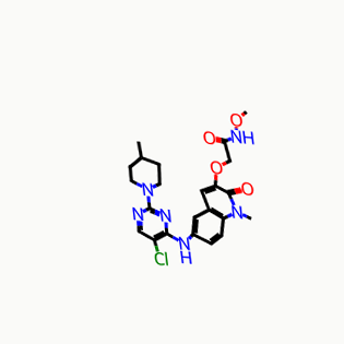 CONC(=O)COc1cc2cc(Nc3nc(N4CCC(C)CC4)ncc3Cl)ccc2n(C)c1=O